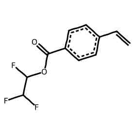 C=Cc1ccc(C(=O)OC(F)C(F)F)cc1